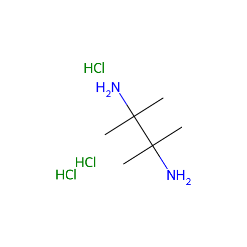 CC(C)(N)C(C)(C)N.Cl.Cl.Cl